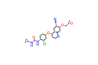 N#Cc1cc2c(Oc3ccc(NC(=O)NC4CC4)c(Cl)c3)ccnc2cc1OC[C@H]1CO1